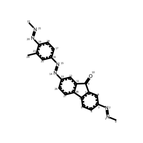 CN=Nc1ccc2c(c1)C(=O)c1cc(N=Nc3ccc(N=NC)c(C)c3)ccc1-2